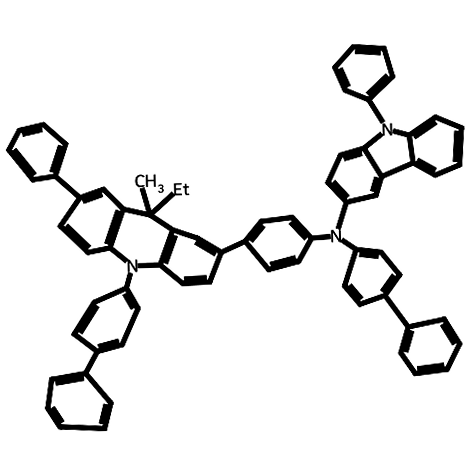 CCC1(C)c2cc(-c3ccccc3)ccc2N(c2ccc(-c3ccccc3)cc2)c2ccc(-c3ccc(N(c4ccc(-c5ccccc5)cc4)c4ccc5c(c4)c4ccccc4n5-c4ccccc4)cc3)cc21